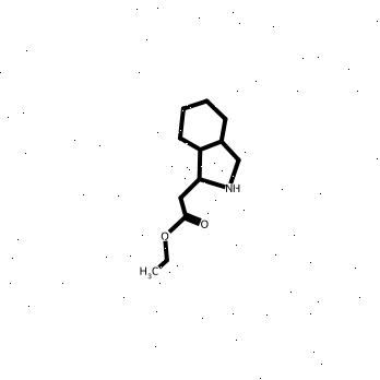 CCOC(=O)CC1NCC2CCCCC21